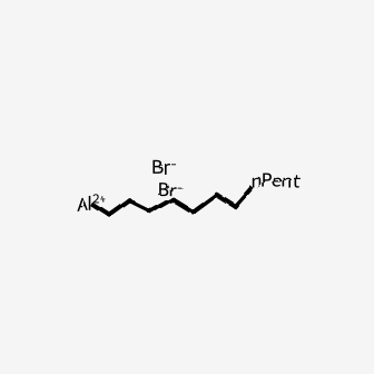 CCCCCCCCCCC[CH2][Al+2].[Br-].[Br-]